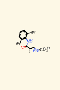 CC(C)c1cccc(C(C)C)c1NC(=O)[C@@H](C)CNC(=O)O